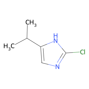 CC(C)c1cnc(Cl)[nH]1